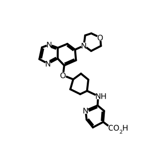 O=C(O)c1ccnc(NC2CCC(Oc3cc(N4CCOCC4)cc4nccnc34)CC2)c1